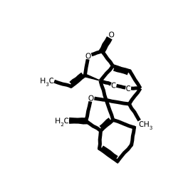 C=C1OC2(C3=C1C=CCC3)C(C)C1C=C3C(=O)O/C(=C\C)[C@]32CC1